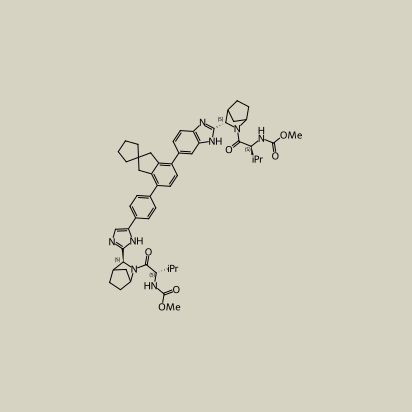 COC(=O)N[C@H](C(=O)N1C2CCC(C2)[C@H]1c1ncc(-c2ccc(-c3ccc(-c4ccc5nc([C@@H]6C7CCC(C7)N6C(=O)[C@@H](NC(=O)OC)C(C)C)[nH]c5c4)c4c3CC3(CCCC3)C4)cc2)[nH]1)C(C)C